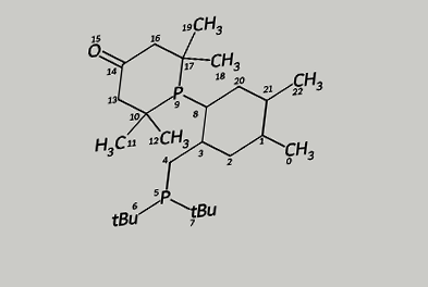 CC1CC(CP(C(C)(C)C)C(C)(C)C)C(P2C(C)(C)CC(=O)CC2(C)C)CC1C